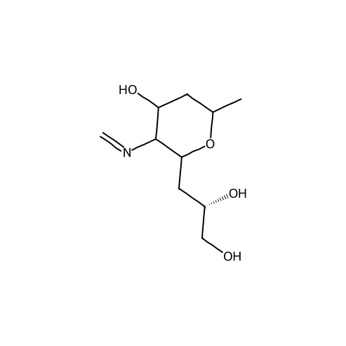 C=NC1C(O)CC(C)OC1C[C@H](O)CO